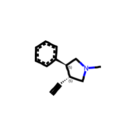 C#C[C@H]1CN(C)C[C@@H]1c1ccccc1